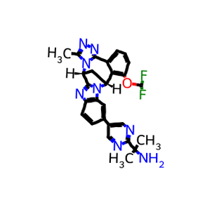 Cc1nnc2n1[C@@H]1C[C@H](c3c(OC(F)F)cccc3-2)n2c1nc1ccc(-c3cnc(C(C)(C)N)nc3)cc12